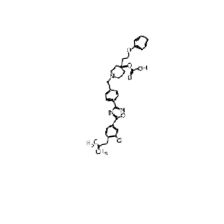 CC(C)Cc1ccc(-c2nc(-c3ccc(CN4CCC(CCOc5ccccc5)(OC(=O)O)CC4)cc3)no2)cc1Cl